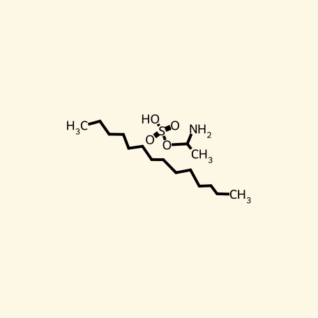 CC(N)OS(=O)(=O)O.CCCCCCCCCCCCCC